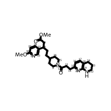 COC(=O)CC(CCC1CCN(C(=O)CCc2ccc3c(n2)NCCC3)CC1)c1ccc(OC)nc1